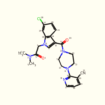 CN(C)C(=O)Cn1cc(C(=O)N2CCN(c3ncccc3C#N)CC2)c2ccc(Cl)cc21